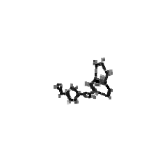 O=Cc1ccc(Oc2ccc3c(c2)CCC3)cc1